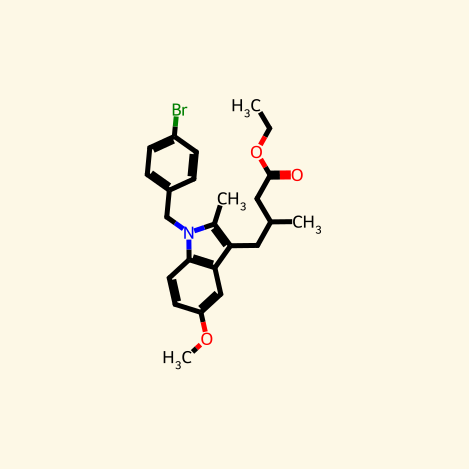 CCOC(=O)CC(C)Cc1c(C)n(Cc2ccc(Br)cc2)c2ccc(OC)cc12